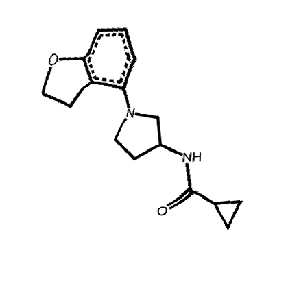 O=C(NC1CCN(c2cccc3c2CCO3)C1)C1CC1